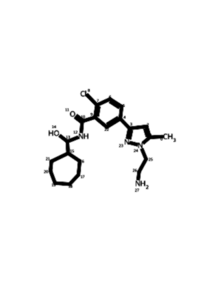 Cc1cc(-c2ccc(Cl)c(C(=O)NC(O)C3CCCCCC3)c2)nn1CCN